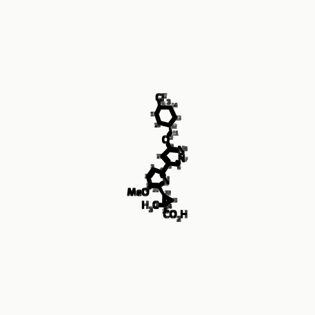 COc1ccc(-c2cnnc(OC[C@H]3CC[C@H](C(F)(F)F)CC3)c2)nc1[C@H]1C[C@]1(C)C(=O)O